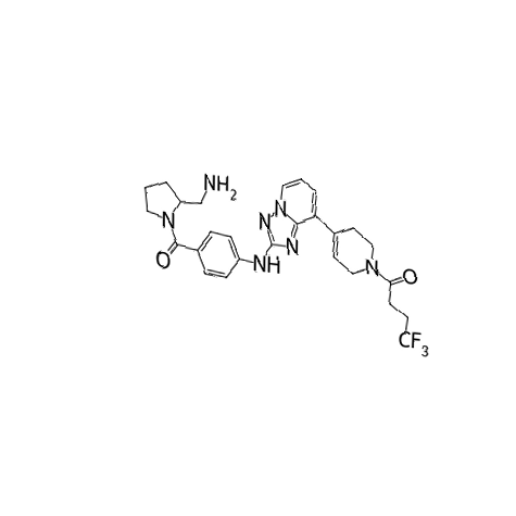 NCC1CCCN1C(=O)c1ccc(Nc2nc3c(C4=CCN(C(=O)CCC(F)(F)F)CC4)cccn3n2)cc1